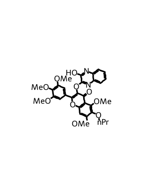 CCCOc1c(OC)cc2oc(-c3cc(OC)c(OC)c(OC)c3)c(Oc3nc4ccccc4nc3O)c(=O)c2c1OC